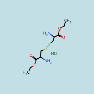 CCOC(=O)C(N)CSSCC(N)C(=O)OCC.Cl